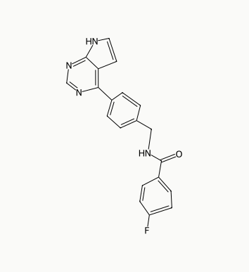 O=C(NCc1ccc(-c2ncnc3[nH]ccc23)cc1)c1ccc(F)cc1